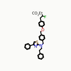 CCOC(=O)C(F)Cc1ccc(OCc2ccc(CN(CCc3ccccc3)c3nc(-c4ccccc4)cs3)cc2)cc1